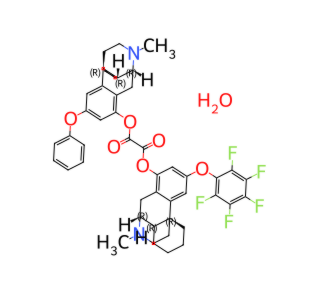 CN1CC[C@]23CCCC[C@H]2[C@H]1Cc1c(OC(=O)C(=O)Oc2cc(Oc4c(F)c(F)c(F)c(F)c4F)cc4c2C[C@@H]2[C@@H]5CCCC[C@]45CCN2C)cc(Oc2ccccc2)cc13.O